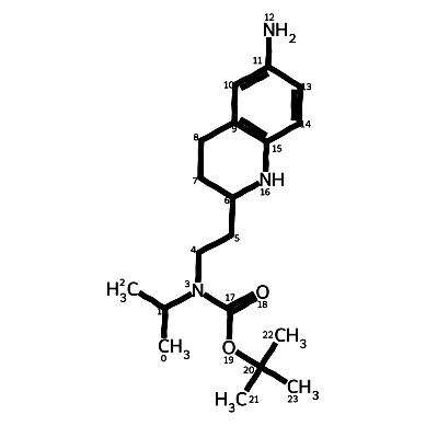 CC(C)N(CCC1CCc2cc(N)ccc2N1)C(=O)OC(C)(C)C